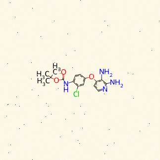 CC(C)(C)OC(=O)Nc1ccc(Oc2ccnc(N)c2N)cc1Cl